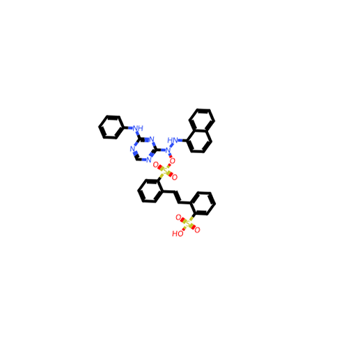 O=S(=O)(O)c1ccccc1C=Cc1ccccc1S(=O)(=O)ON(Nc1cccc2ccccc12)c1ncnc(Nc2ccccc2)n1